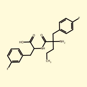 CCCC(N)(Cc1ccc(F)cc1)C(=O)NC(Cc1cccc(F)c1)C(=O)O